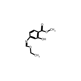 CCO/C=N\c1ccc(C(=O)OC)c(O)c1